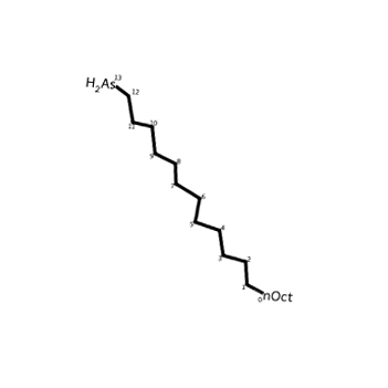 CCCCCCCCCCCCCCCCCCCC[AsH2]